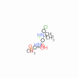 CCS(=O)(=O)c1ccc([C@H](CO)NC(=O)c2ccc(C(Nc3ccc(Cl)cc3)C(C)C)c(F)c2)cc1